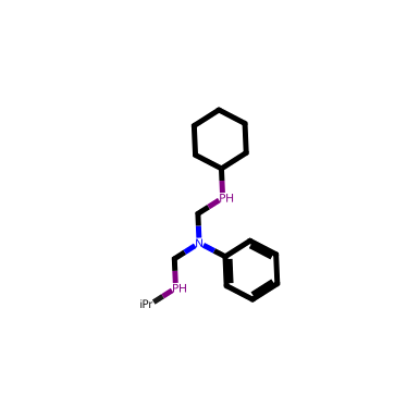 CC(C)PCN(CPC1CCCCC1)c1ccccc1